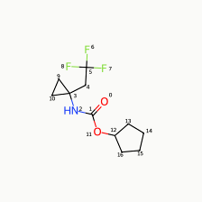 O=C(NC1(CC(F)(F)F)CC1)OC1CCCC1